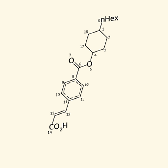 CCCCCCC1CCC(OC(=O)c2ccc(C=CC(=O)O)cc2)CC1